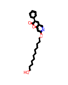 O=c1oc2cc(OCCCCCCCCCCCCO)ncc2cc1-c1ccccc1